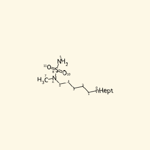 CCCCCCCCCCCCN(C)S(N)(=O)=O